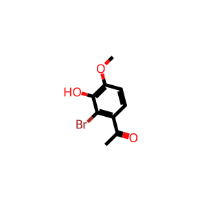 COc1ccc(C(C)=O)c(Br)c1O